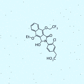 CCOc1c2c(c(OCC(F)(F)F)c3ccccc13)C(=O)N(c1ccc(CC(=O)O)cc1Cl)C2O